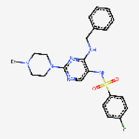 CCN1CCN(c2ncc(NS(=O)(=O)c3ccc(Cl)cc3)c(NCc3ccccc3)n2)CC1